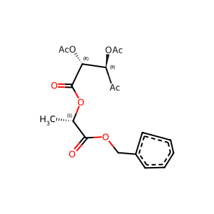 CC(=O)O[C@@H](C(C)=O)[C@@H](OC(C)=O)C(=O)O[C@@H](C)C(=O)OCc1ccccc1